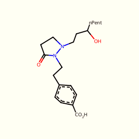 CCCCCC(O)CCN1CCC(=O)N1CCc1ccc(C(=O)O)cc1